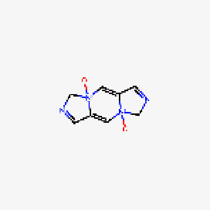 [O-][N+]12C=C3C=NC[N+]3([O-])C=C1C=NC2